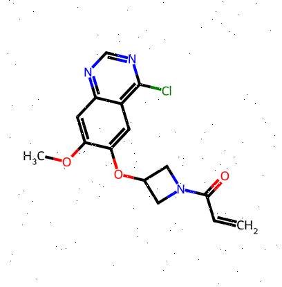 C=CC(=O)N1CC(Oc2cc3c(Cl)ncnc3cc2OC)C1